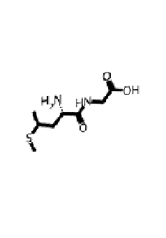 CSC(C)C[C@H](N)C(=O)NCC(=O)O